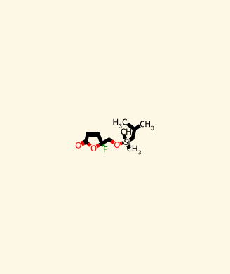 CC(C)C[Si](C)(C)OCC1(F)C=CC(=O)O1